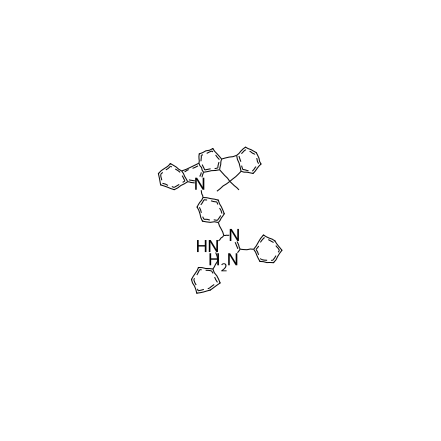 CC1(C)c2ccccc2-c2ccc3c4ccccc4n(-c4ccc(C(/N=C(\N)c5ccccc5)NCc5ccccc5)cc4)c3c21